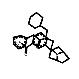 NC(=O)c1cccc(C2CC3CCC(C2)N3CCN(CC2CCCCC2)C(=O)Cc2ccccc2)c1